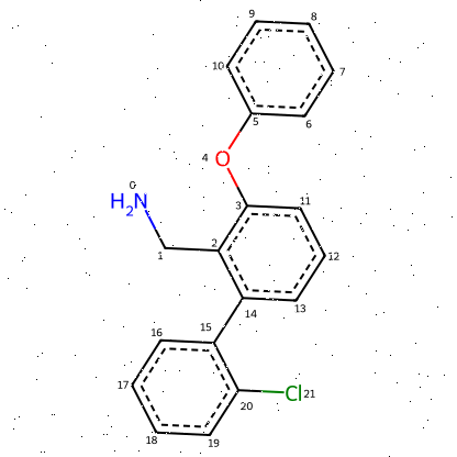 NCc1c(Oc2ccccc2)cccc1-c1ccccc1Cl